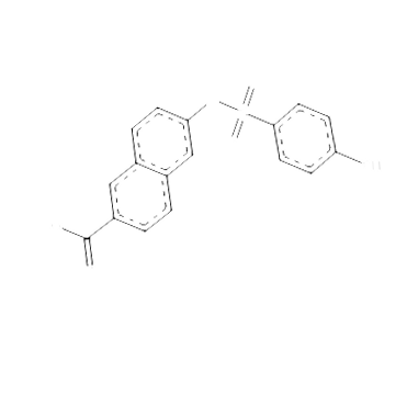 Cc1ccc(S(=O)(=O)Oc2ccc3cc(C(=O)O)ccc3c2)cc1